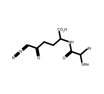 CSC(C(=O)NC(CCC(=O)C=[N+]=[N-])C(=O)O)C(C)C